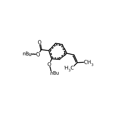 CCCCOC(=O)c1ccc(C=C(C)C)cc1OCCCC